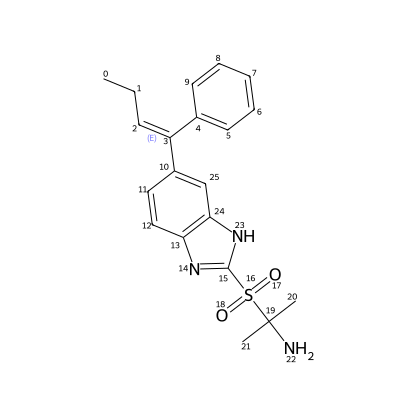 CC/C=C(\c1ccccc1)c1ccc2nc(S(=O)(=O)C(C)(C)N)[nH]c2c1